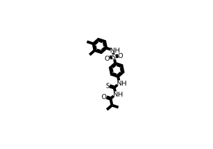 Cc1ccc(NS(=O)(=O)c2ccc(NC(=S)NC(=O)C(C)C)cc2)cc1C